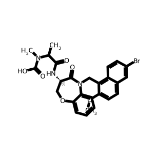 COc1ccc2cc(Br)ccc2c1CN1C(=O)[C@@H](NC(=O)C(C)N(C)C(=O)O)COc2ccccc21